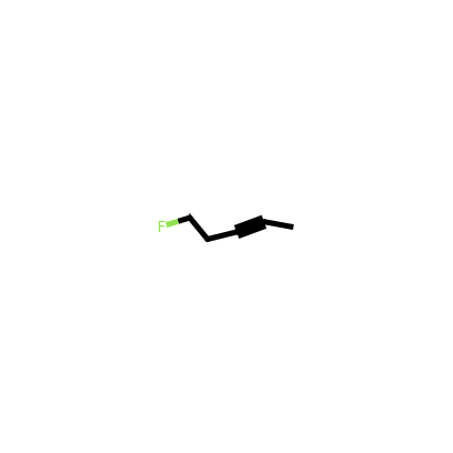 CC#CC[CH]F